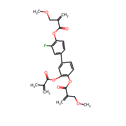 C=C(C)C(=O)Oc1cc(-c2ccc(OC(=O)C(=C)COC)c(F)c2)ccc1OC(=O)C(=C)COC